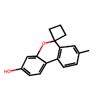 Cc1ccc2c(c1)C1(CCC1)Oc1cc(O)ccc1-2